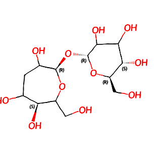 OCC1O[C@H](O[C@H]2O[C@H](CO)[C@@H](O)C(O)C2O)C(O)CC(O)[C@@H]1O